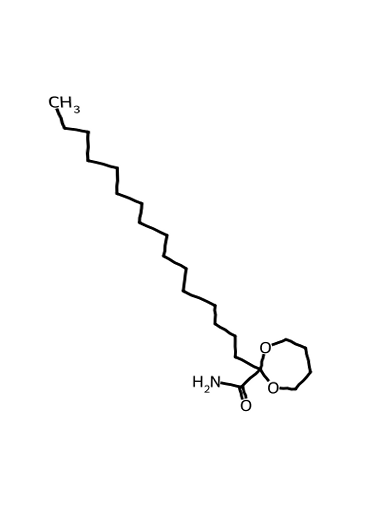 CCCCCCCCCCCCCCCCC1(C(N)=O)OCCCCO1